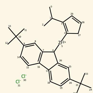 CC(C)C1=[C]([Zr+2][CH]2c3cc(C(C)(C)C)ccc3-c3ccc(C(C)(C)C)cc32)CC=C1.[Cl-].[Cl-]